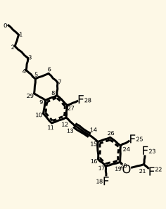 CCCCCC1CCc2c(ccc(C#Cc3cc(F)c(OC(F)F)c(F)c3)c2F)C1